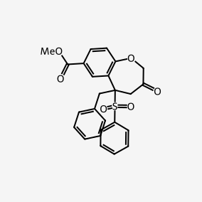 COC(=O)c1ccc2c(c1)C(Cc1ccccc1)(S(=O)(=O)c1ccccc1)CC(=O)CO2